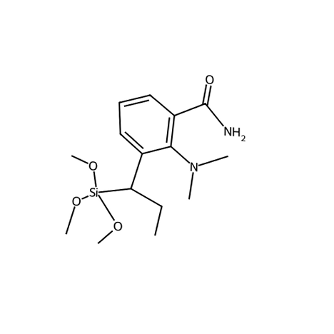 CCC(c1cccc(C(N)=O)c1N(C)C)[Si](OC)(OC)OC